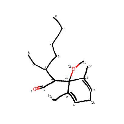 CCCCC(CC)C(C=O)C1(OC)C(C)=CCC=C1C